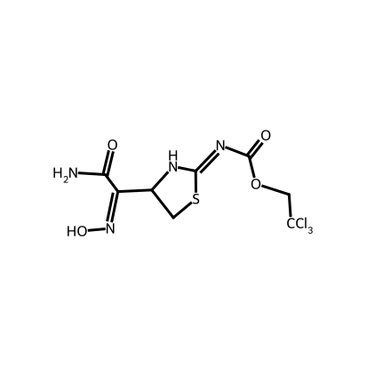 NC(=O)C(=NO)C1CSC(=NC(=O)OCC(Cl)(Cl)Cl)N1